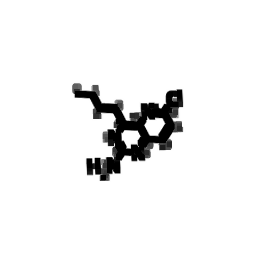 CC/C=C/c1nc(N)nc2ccc(Cl)nc12